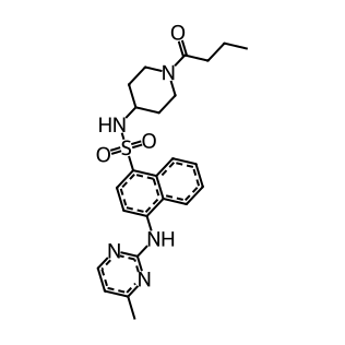 CCCC(=O)N1CCC(NS(=O)(=O)c2ccc(Nc3nccc(C)n3)c3ccccc23)CC1